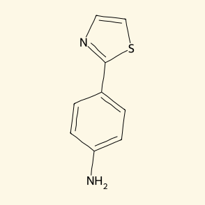 Nc1ccc(-c2nccs2)cc1